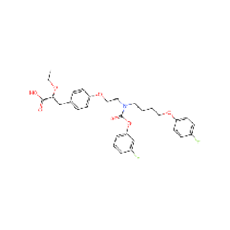 CCOC(Cc1ccc(OCCN(CCCCOc2ccc(F)cc2)C(=O)Oc2cccc(F)c2)cc1)C(=O)O